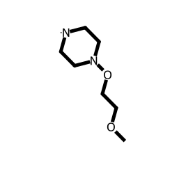 COCCON1CC[N]CC1